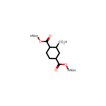 CCCCCCCCCOC(=O)C1CCC(C(=O)OCCCCCCCCC)C(C(=O)O)C1